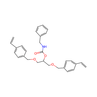 C=Cc1ccc(COCC(COCc2ccc(C=C)cc2)OC(=O)NCc2ccccc2)cc1